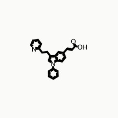 O=C(O)C=Cc1ccc2c(c1)c(CCc1ccccn1)cn2-c1ccccc1